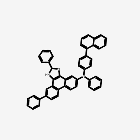 c1ccc(-c2ccc3c(c2)c2c(c4cc(N(c5ccccc5)c5ccc(-c6cccc7ccccc67)cc5)ccc43)OC(c3ccccc3)N2)cc1